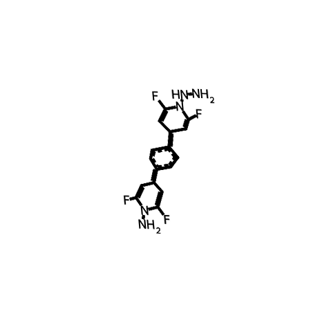 NNN1C(F)=CC(=c2ccc(=C3C=C(F)N(N)C(F)=C3)cc2)C=C1F